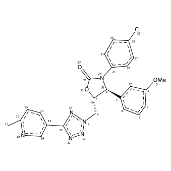 COc1cccc([C@H]2[C@H](Cn3nnc(-c4ccc(C)nc4)n3)OC(=O)N2c2ccc(Cl)cc2)c1